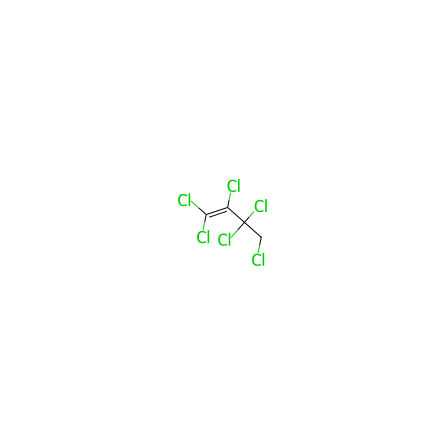 ClCC(Cl)(Cl)C(Cl)=C(Cl)Cl